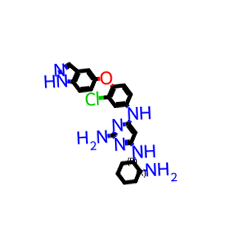 Nc1nc(Nc2ccc(Oc3ccc4[nH]ncc4c3)c(Cl)c2)cc(N[C@@H]2CCCC[C@H]2N)n1